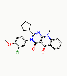 COc1ccc(-n2c(C3CCCC3)nc3c(c(=O)c4ccccc4n3C)c2=O)cc1Cl